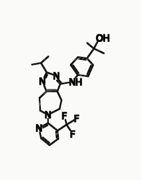 CC(C)c1nc2c(c(Nc3ccc(C(C)(C)O)cc3)n1)CCN(c1ncccc1C(F)(F)F)CC2